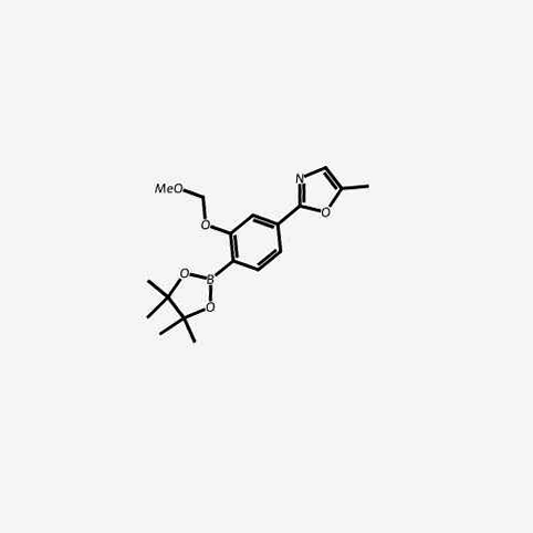 COCOc1cc(-c2ncc(C)o2)ccc1B1OC(C)(C)C(C)(C)O1